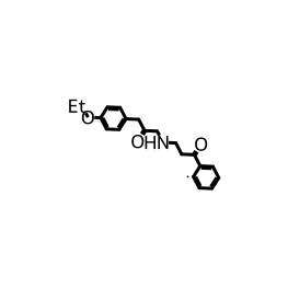 CCOc1ccc(CC(=O)CNCCC(=O)c2[c]cccc2)cc1